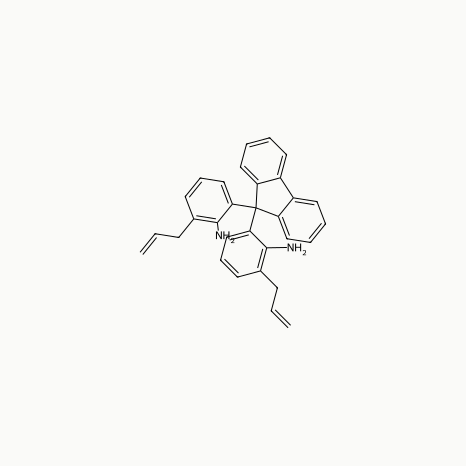 C=CCc1cccc(C2(c3cccc(CC=C)c3N)c3ccccc3-c3ccccc32)c1N